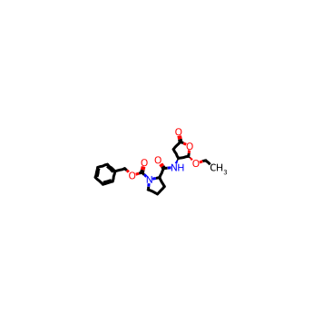 CCO[C@@H]1OC(=O)C[C@@H]1NC(=O)C1CCCN1C(=O)OCc1ccccc1